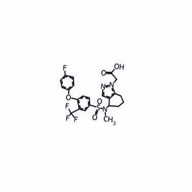 CN(C1CCCc2c1cnn2CC(=O)O)S(=O)(=O)c1ccc(Oc2ccc(F)cc2)c(C(F)(F)F)c1